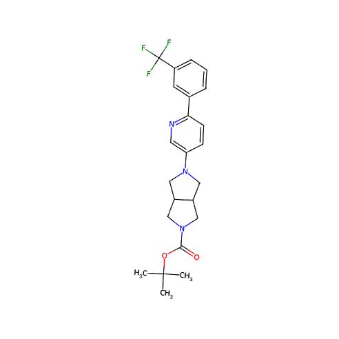 CC(C)(C)OC(=O)N1CC2CN(c3ccc(-c4cccc(C(F)(F)F)c4)nc3)CC2C1